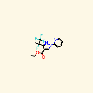 CCOC(=O)c1cn(-c2ccccn2)nc1C(C)(F)C(F)(F)F